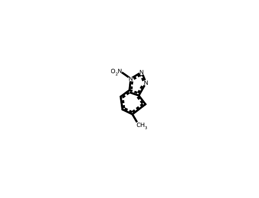 Cc1ccc2c(c1)nnn2[N+](=O)[O-]